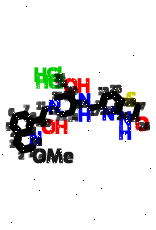 COc1ccc2cccc([C@@H](O)CN3CC[C@H](NCc4ccc5c(n4)NC(=O)CS5)[C@@H](O)C3)c2n1.Cl.Cl